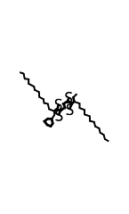 CCCCCCCCCCCCCc1c(C)sc2c1sc1c3sc(-c4ccccc4)c(CCCCCCCCCCCCC)c3sc21